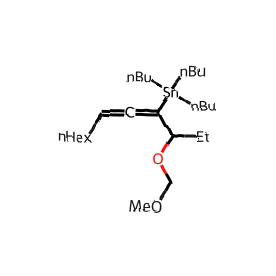 CCCCCCC=C=[C](C(CC)OCOC)[Sn]([CH2]CCC)([CH2]CCC)[CH2]CCC